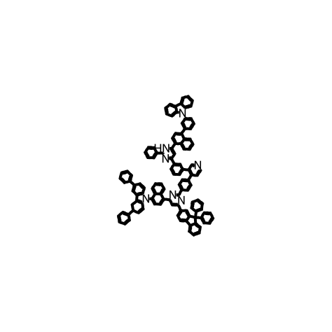 C1=CC(c2ccccc2)Cc2c1n(-c1ccc(-c3cc(-c4ccc5c(c4)C(c4ccccc4)(c4ccccc4)c4ccccc4-5)nc(-c4ccc(-c5ccncc5-c5cccc(C6=NC(c7ccccc7)NC(c7ccc(-c8cccc(-n9c%10ccccc%10c%10ccccc%109)c8)c8ccccc78)=C6)c5)cc4)n3)c3ccccc13)c1ccc(-c3ccccc3)cc21